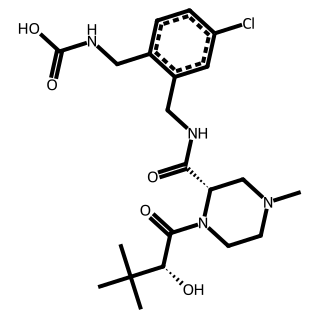 CN1CCN(C(=O)[C@H](O)C(C)(C)C)[C@H](C(=O)NCc2cc(Cl)ccc2CNC(=O)O)C1